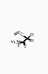 CCC(C#N)(CC)C(N)=O